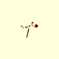 CCCCCCC=CC(=O)N[C@@H](CCCNC(=N)N[N+](=O)[O-])C(=O)N[C@@H](CC(C)C)B1O[C@@H]2C[C@@H]3C[C@@H](C3(C)C)[C@]2(C)O1